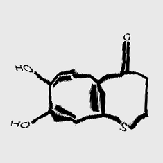 O=C1CCSc2cc(O)c(O)cc21